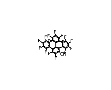 N#Cc1c(F)c(F)c(-c2c(F)c(F)c(F)c(F)c2F)c(-c2c(F)c(F)c(F)c(F)c2F)c1-c1c(F)c(F)c(F)c(F)c1F